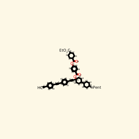 C#Cc1ccc(C#Cc2ccc(C#CC3(OC(=O)c4ccc(OC(=O)C5CCC(C(=O)OCC)CC5)cc4)CCC(C4CCC(CCCCC)CC4)CC3)cc2)cc1